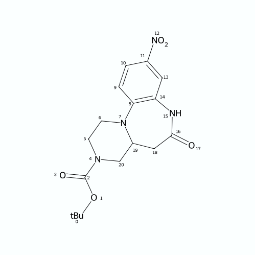 CC(C)(C)OC(=O)N1CCN2c3ccc([N+](=O)[O-])cc3NC(=O)CC2C1